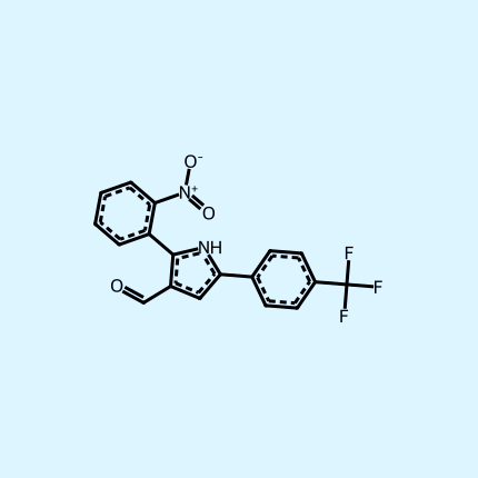 O=Cc1cc(-c2ccc(C(F)(F)F)cc2)[nH]c1-c1ccccc1[N+](=O)[O-]